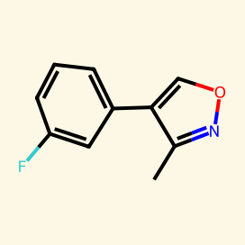 Cc1nocc1-c1cccc(F)c1